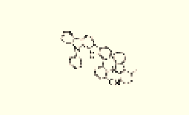 CC1CCCc2c1c1ccccc1n2-c1c(C#N)cccc1-c1cccc2c1oc1c2ccc2c3ccccc3n(-c3ccccc3)c21